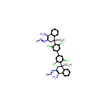 [H]/N=N/C1=C(N)c2ccccc2C(c2c(Cl)cc(-c3cc(Cl)c(C4(S(=O)(=O)O)CC(/N=N/[H])=C(N)c5ccccc54)c(Cl)c3)cc2Cl)(S(=O)(=O)O)C1